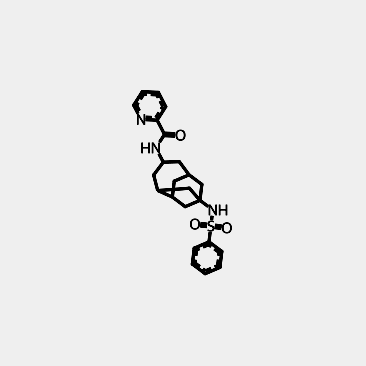 O=C(NC1CC2CC3CC(NS(=O)(=O)c4ccccc4)(C2)CC3C1)c1ccccn1